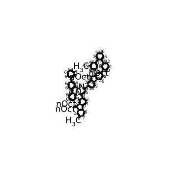 CCCCCCCCC1(CCCCCCCC)c2cc(C)ccc2-c2ccc(-c3cc(-c4ccc5c(c4)C(CCCCCCCC)(CCCCCCCC)c4cc(-c6cccc(-c7ccccc7-c7cccc(C)c7)c6)ccc4-5)nc(-c4cc(-c5ccccc5)ccc4-c4ccccc4)n3)cc21